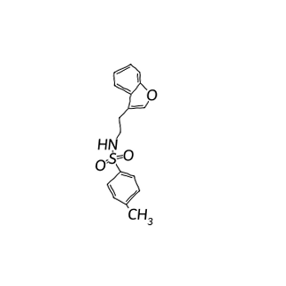 Cc1ccc(S(=O)(=O)NCCc2coc3ccccc23)cc1